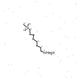 [CH2]CCCCCCCCCCCCCC[Si](C)(C)C